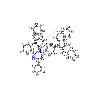 c1ccc(-c2nc(-c3ccccc3)nc(-c3ccc(-n4c5cc6ccccc6cc5c5c6ccccc6ccc54)cc3-c3ccc4sc5ccccc5c4c3)n2)cc1